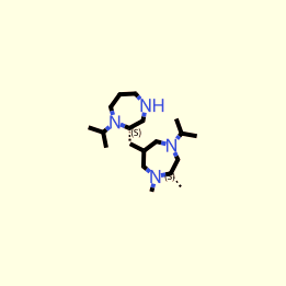 CC(C)N1CC(C[C@H]2CNCCCN2C(C)C)CN(C)[C@@H](C)C1